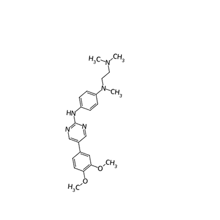 COc1ccc(-c2cnc(Nc3ccc(N(C)CCN(C)C)cc3)nc2)cc1OC